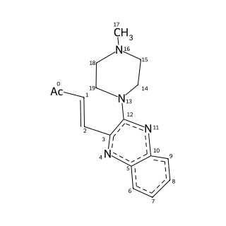 CC(=O)C=Cc1nc2ccccc2nc1N1CCN(C)CC1